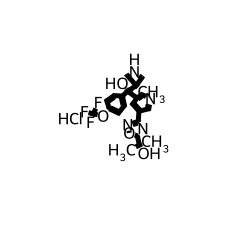 CC(C)(O)c1nc(-c2cncc([C@@](O)(c3ccc(OC(F)(F)F)cc3)C3(C)CNC3)c2)no1.Cl